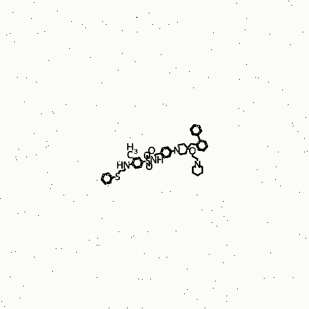 Cc1cc(S(=O)(=O)NC(=O)c2ccc(N3CCC(Cc4ccccc4-c4ccccc4)(OCCN4CCCCC4)CC3)cc2)ccc1NCCSc1ccccc1